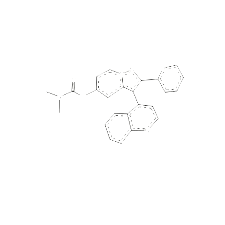 CN(C)C(=O)Oc1ccn2nc(-c3ccccn3)c(-c3ccnc4ccccc34)c2c1